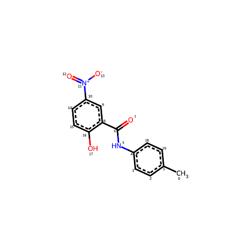 Cc1ccc(NC(=O)c2cc([N+](=O)[O-])ccc2O)cc1